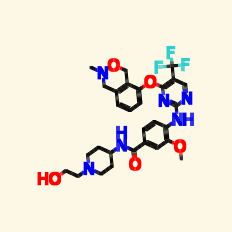 COc1cc(C(=O)NC2CCN(CCO)CC2)ccc1Nc1ncc(C(F)(F)F)c(Oc2cccc3c2CON(C)C3)n1